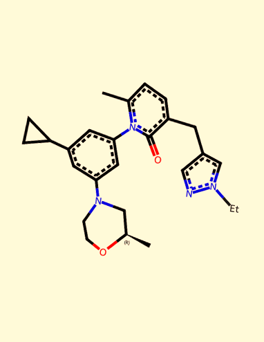 CCn1cc(Cc2ccc(C)n(-c3cc(C4CC4)cc(N4CCO[C@H](C)C4)c3)c2=O)cn1